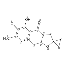 Cc1cn2c(c(O)c1=O)C(=O)N1CC3(CC3)OC1C2